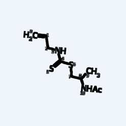 C=CCNC(=S)SCC(C)NC(C)=O